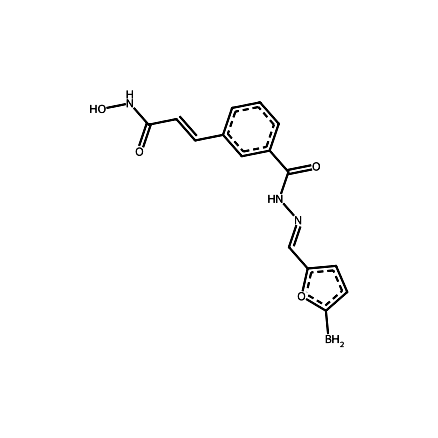 Bc1ccc(/C=N/NC(=O)c2cccc(/C=C/C(=O)NO)c2)o1